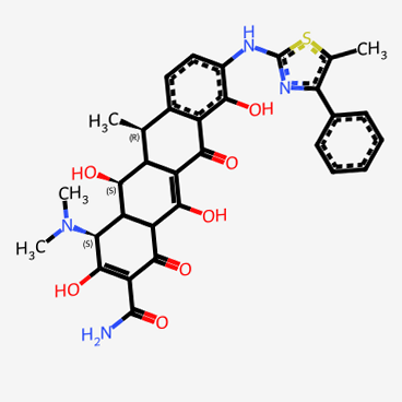 Cc1sc(Nc2ccc3c(c2O)C(=O)C2=C(O)C4C(=O)C(C(N)=O)=C(O)[C@@H](N(C)C)C4[C@@H](O)C2[C@H]3C)nc1-c1ccccc1